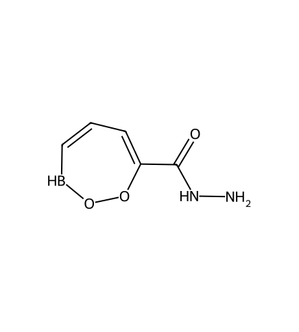 NNC(=O)C1=CC=CBOO1